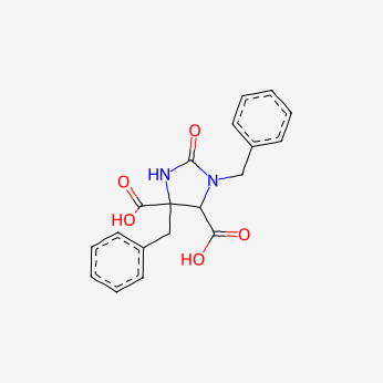 O=C(O)C1N(Cc2ccccc2)C(=O)NC1(Cc1ccccc1)C(=O)O